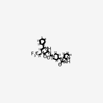 O=C(Nc1nc(-c2ccccc2)cn(CC(F)(F)F)c1=O)N1CCC(n2c(=O)[nH]c3ncccc32)CC1